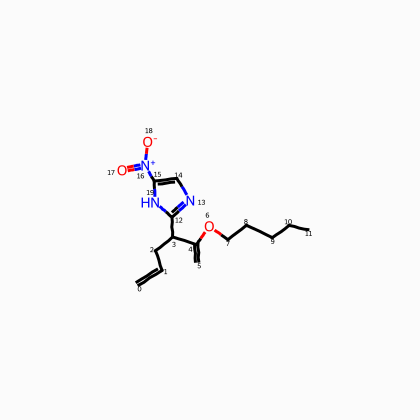 C=CCC(C(=C)OCCCCC)c1ncc([N+](=O)[O-])[nH]1